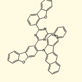 c1ccc(-c2nc(-c3cc4c(cc3-n3c5ccccc5c5cc6ccccc6cc53)oc3ccccc34)nc(-c3cccc4c3oc3ccccc34)n2)cc1